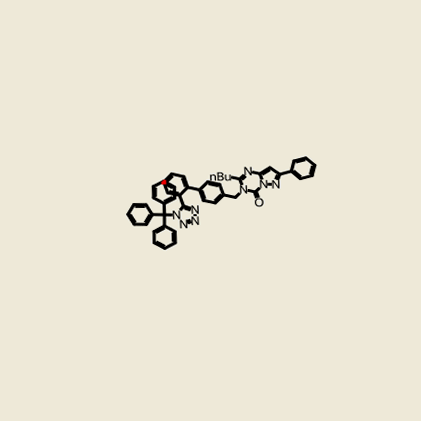 CCCCc1nc2cc(-c3ccccc3)nn2c(=O)n1Cc1ccc(-c2ccccc2-c2nnnn2C(c2ccccc2)(c2ccccc2)c2ccccc2)cc1